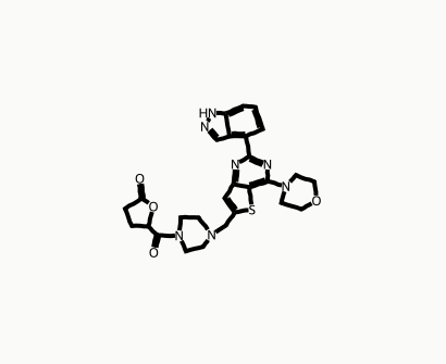 O=C1CCC(C(=O)N2CCN(Cc3cc4nc(-c5cccc6[nH]ncc56)nc(N5CCOCC5)c4s3)CC2)O1